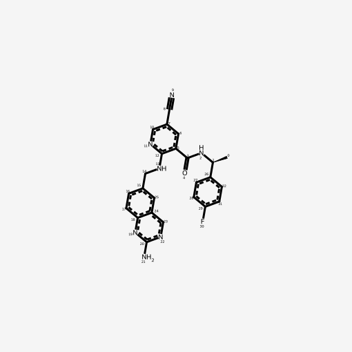 C[C@H](NC(=O)c1cc(C#N)cnc1NCc1ccc2nc(N)ncc2c1)c1ccc(F)cc1